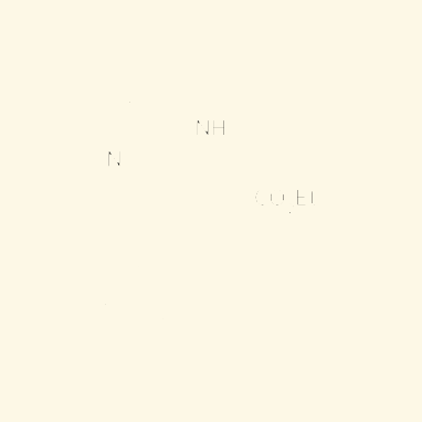 CCOC(=O)c1[nH]cnc1C1CC1